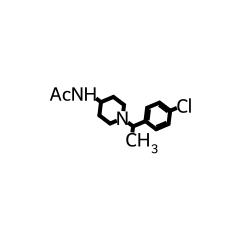 CC(=O)NC1CCN(C(C)c2ccc(Cl)cc2)CC1